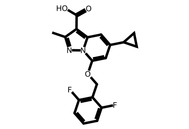 Cc1nn2c(OCc3c(F)cccc3F)cc(C3CC3)cc2c1C(=O)O